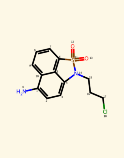 Nc1ccc2c3c(cccc13)S(=O)(=O)N2CCCCl